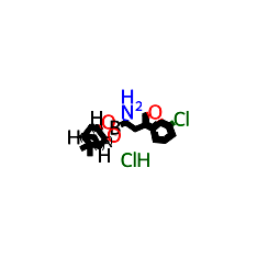 CC1(C)[C@@H]2C[C@H]3OB(C(N)Cc4coc5c(Cl)cccc45)O[C@@]3(C)[C@H]1C2.Cl